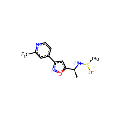 C[C@H](N[S@+]([O-])C(C)(C)C)c1cc(-c2ccnc(C(F)(F)F)c2)no1